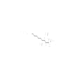 CCCCCCCCCCCCCCC(O)C(O)C(N)CC